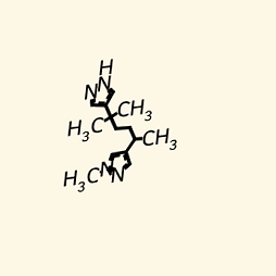 CC(CCC(C)(C)c1cn[nH]c1)c1cnn(C)c1